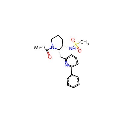 COC(=O)N1CCC[C@H](NS(C)(=O)=O)[C@@H]1Cc1cccc(-c2ccccc2)n1